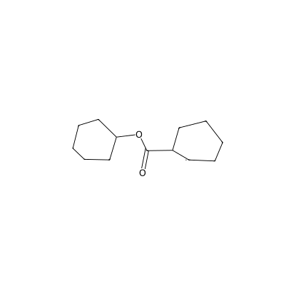 O=C(OC1CCCCC1)C1[CH]CCCC1